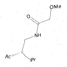 COCC(=O)NC[C@@H](C(C)=O)C(C)C